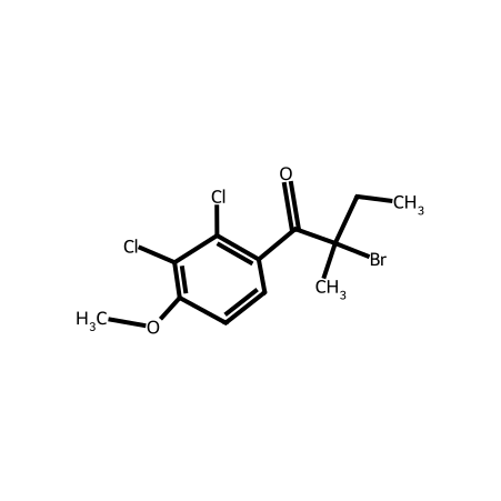 CCC(C)(Br)C(=O)c1ccc(OC)c(Cl)c1Cl